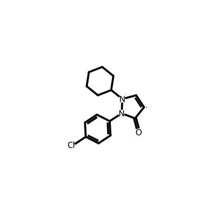 O=c1[c]cn(C2CCCCC2)n1-c1ccc(Cl)cc1